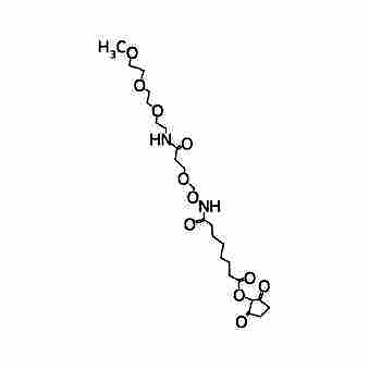 COCCOCCOCCNC(=O)CCOCONC(=O)CCCCCCC(=O)OC1C(=O)CCC1=O